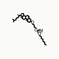 CCCCCCCCOC[C@H](CN(C)C)OCCCCO[C@H]1CC[C@@]2(C)C(=CCC3C2CC[C@@]2(C)C3CC[C@@H]2[C@H](C)CCCC(C)C)C1